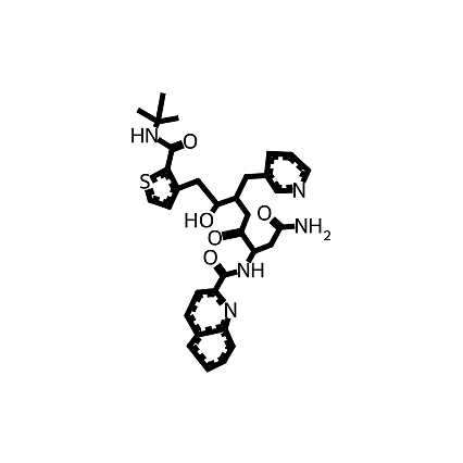 CC(C)(C)NC(=O)c1sccc1CC(O)C(CC(=O)C(CC(N)=O)NC(=O)c1ccc2ccccc2n1)Cc1cccnc1